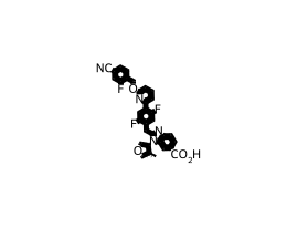 C[C@H]1COC[C@H]1n1c(Cc2cc(F)c(-c3cccc(OCc4ccc(C#N)cc4F)n3)cc2F)nc2ccc(C(=O)O)cc21